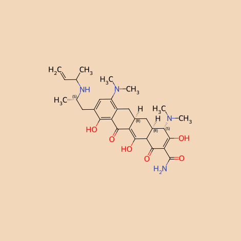 C=CC(C)N[C@@H](C)Cc1cc(N(C)C)c2c(c1O)C(=O)C1=C(O)C3C(=O)C(C(N)=O)=C(O)[C@@H](N(C)C)[C@@H]3C[C@@H]1C2